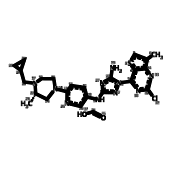 Cc1csc2c(-n3nc(Nc4ccc(N5CCN(CC6CC6)[C@@H](C)C5)nc4)nc3N)nc(Cl)nc12.O=CO